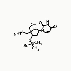 CC(C)(C)[Si](C)(C)OC1C[C@H](n2ccc(=O)[nH]c2=O)O[C@@]1(CO)CN=[N+]=[N-]